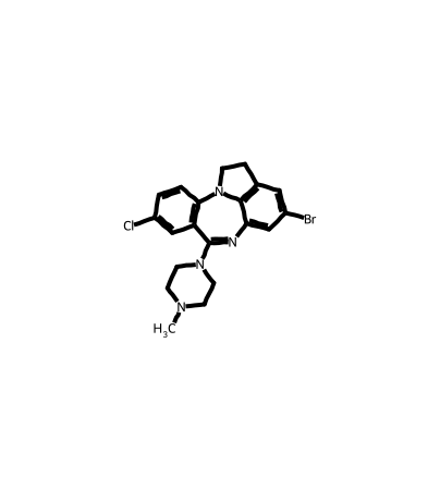 CN1CCN(C2=Nc3cc(Br)cc4c3N(CC4)c3ccc(Cl)cc32)CC1